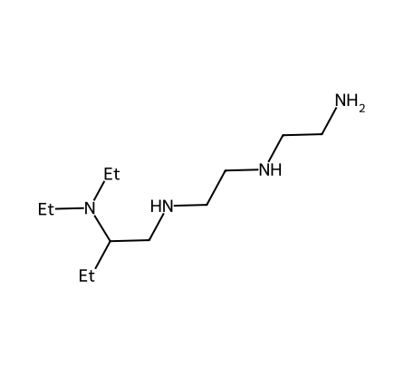 CCC(CNCCNCCN)N(CC)CC